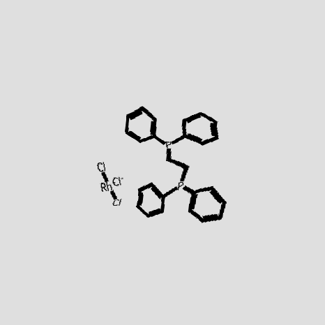 [Cl-].[Cl][Rh+][Cl].c1ccc(P(CCP(c2ccccc2)c2ccccc2)c2ccccc2)cc1